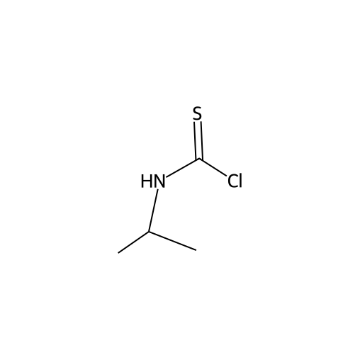 CC(C)NC(=S)Cl